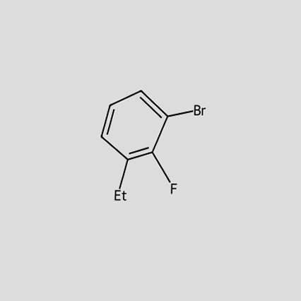 CCc1cccc(Br)c1F